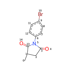 CC1CC(=O)N(c2[c]cc(Br)cc2)C1=O